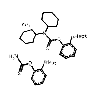 C.CCCCCCCc1ccccc1OC(=S)N(C1CCCCC1)C1CCCCC1.CCCCCCCc1ccccc1OC(N)=S